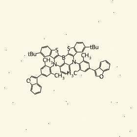 Cc1cc(-c2coc3ccccc23)cc(C)c1N1c2cccc3c2B(c2sc4ccc(C(C)(C)C)cc4c21)c1sc2ccc(C(C)(C)C)cc2c1N3c1c(C)cc(-c2coc3ccccc23)cc1C